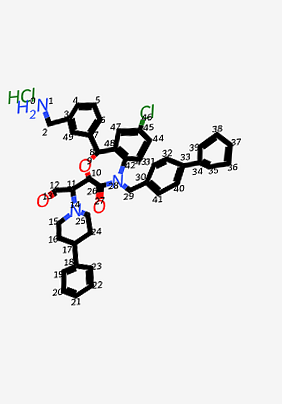 Cl.NCc1cccc(C2OC(C(C=O)N3CCC(c4ccccc4)CC3)C(=O)N(Cc3ccc(-c4ccccc4)cc3)c3ccc(Cl)cc32)c1